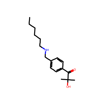 CCCCCCNCc1ccc(C(=O)C(C)(C)O)cc1